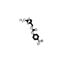 Cc1nc(COC(=O)Oc2ccc([N+](=O)[O-])cc2)cs1